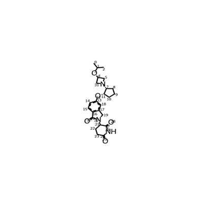 CC(C)OC1CN([C@@H]2CCC[C@@H]2Oc2ccc3c(c2)CN(C2CCC(=O)NC2=O)C3=O)C1